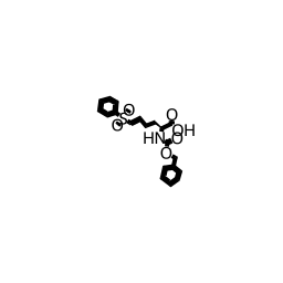 O=C(N[C@@H](CC/C=C/S(=O)(=O)c1ccccc1)C(=O)O)OCc1ccccc1